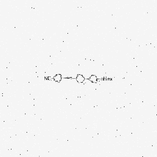 CCCCCCc1ccc(C2CC=C(C#Cc3ccc(C#N)cc3)CC2)cc1